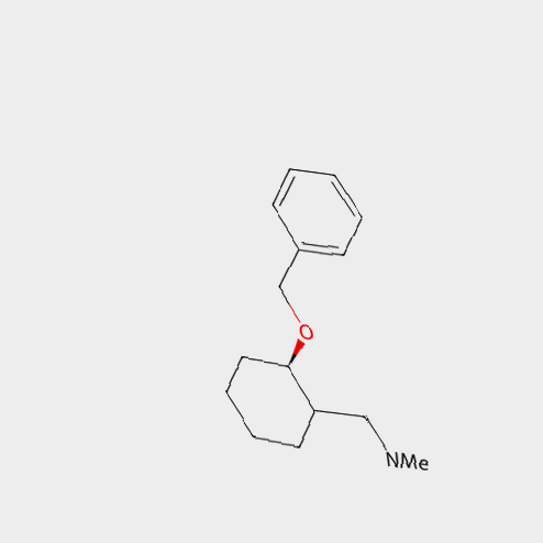 CNCC1CCCC[C@H]1OCc1ccccc1